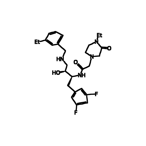 CCc1cccc(CNC[C@H](O)[C@H](Cc2cc(F)cc(F)c2)NC(=O)CN2CCN(CC)C(=O)C2)c1